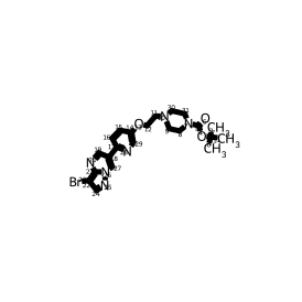 CC(C)(C)OC(=O)N1CCN(CCOc2ccc(-c3cnc4c(Br)cnn4c3)nc2)CC1